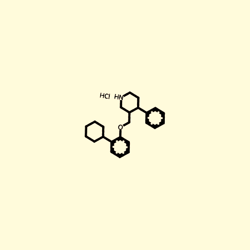 Cl.c1ccc(C2CCNCC2COc2ccccc2C2CCCCC2)cc1